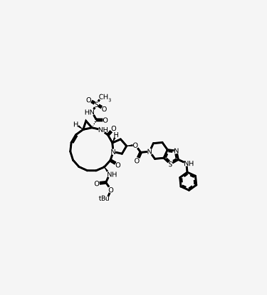 CC(C)(C)OC(=O)N[C@H]1CCCCC/C=C\[C@@H]2C[C@@]2(C(=O)NS(C)(=O)=O)NC(=O)[C@@H]2C[C@@H](OC(=O)N3CCc4nc(Nc5ccccc5)sc4C3)CN2C1=O